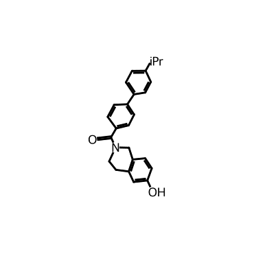 CC(C)c1ccc(-c2ccc(C(=O)N3CCc4cc(O)ccc4C3)cc2)cc1